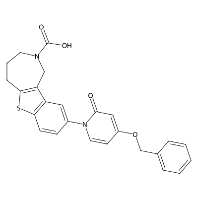 O=C(O)N1CCCc2sc3ccc(-n4ccc(OCc5ccccc5)cc4=O)cc3c2C1